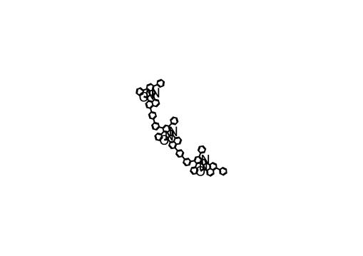 O=c1c2ccc(-c3ccc(-c4cccc(-c5cc(-c6ccccc6)c6nc7c8cccc9c(-c%10ccc(-c%11cccc(-c%12cc(-c%13ccccc%13)c%13nc%14c%15ccc(-c%16ccccc%16)c%16cccc(c(=O)n%14c%13c%12-c%12ccccc%12)c%16%15)c%11)cc%10)ccc(c(=O)n7c6c5-c5ccccc5)c98)c4)cc3)c3cccc(c32)c2nc3c(-c4ccccc4)ccc(-c4ccccc4)c3n12